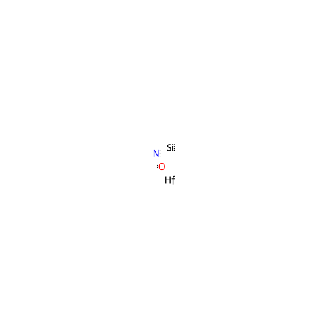 [Hf].[N].[O].[Si]